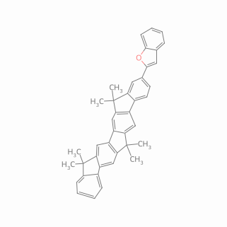 CC1(C)c2ccccc2-c2cc3c(cc21)-c1cc2c(cc1C3(C)C)-c1ccc(-c3cc4ccccc4o3)cc1C2(C)C